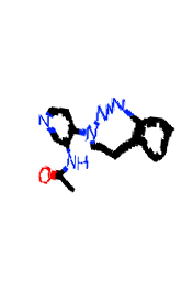 CC(=O)Nc1cnccc1N1C=Cc2ccccc2N=N1